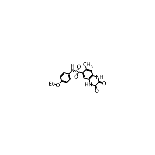 CCOc1ccc(NS(=O)(=O)c2cc3[nH]c(=O)c(=O)[nH]c3cc2C)cc1